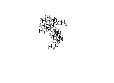 [2H]c1c([2H])c([2H])c(N(C(=O)CC)C2(OC)CCN(C([2H])([2H])C([2H])([2H])n3nnn(CC)c3=O)CC2)c([2H])c1[2H]